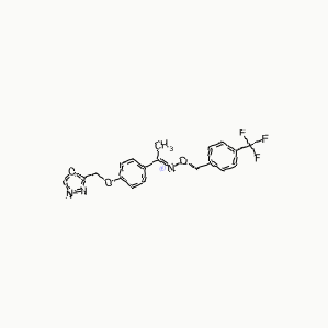 C/C(=N\OCc1ccc(C(F)(F)F)cc1)c1ccc(OCc2nnco2)cc1